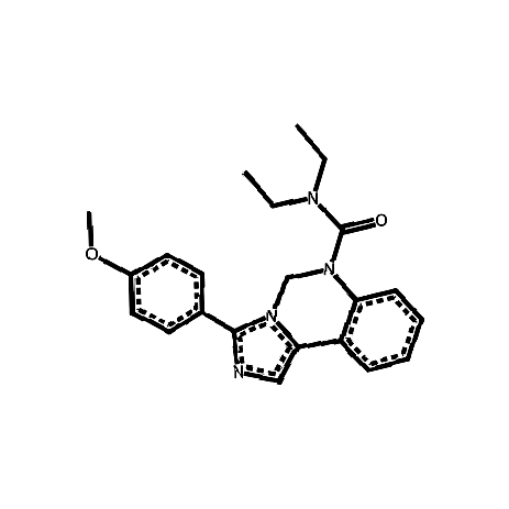 CCN(CC)C(=O)N1Cn2c(cnc2-c2ccc(OC)cc2)-c2ccccc21